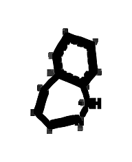 [C]1=CC=NNc2ccccc21